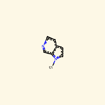 CCn1ccc2c[c]ncc21